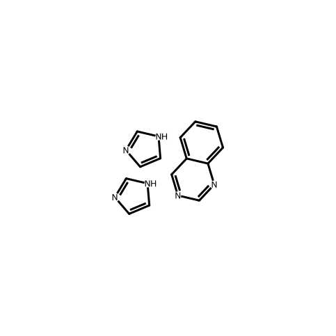 c1c[nH]cn1.c1c[nH]cn1.c1ccc2ncncc2c1